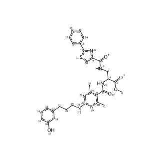 COC(=O)C(CNC(=O)c1csc(-c2ccncc2)n1)NC(=O)c1c(C)nc(NCCCc2cccc(O)c2)nc1C